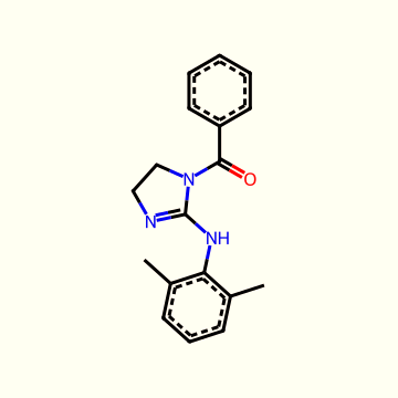 Cc1cccc(C)c1NC1=NCCN1C(=O)c1ccccc1